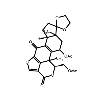 COC[C@H]1OC(=O)c2coc3c2C1(C)C1=C(C3=O)[C@@H]2CCC3(OCCO3)C2(C)CC1OC(C)=O